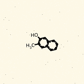 Cc1[c]c2ccccc2cc1O